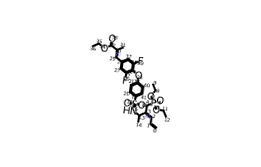 C=C/C=C(/CP(=O)(OCC)OCC)C(C)NS(=O)(=O)c1ccc(Oc2c(F)cc(/C=C(\C)C(=O)OCC)cc2F)cc1